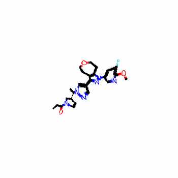 CCC(=O)N1CC[C@H](C(C)n2cc(-c3nn(-c4cnc(OC)c(F)c4)c4c3CCOCC4)cn2)C1